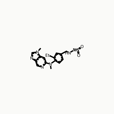 CCc1cc(CNN[SH](=O)=O)ccc1N(C)c1cc2c(cn1)ncn2C